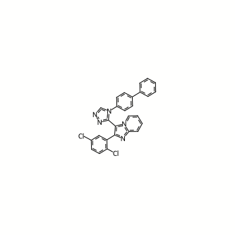 Clc1ccc(Cl)c(-c2nc3ccccn3c2-c2nncn2-c2ccc(-c3ccccc3)cc2)c1